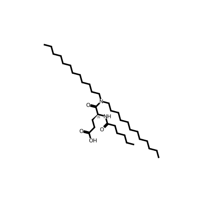 CCCCCCCCCCCCN(CCCCCCCCCCCC)C(=O)[C@H](CCC(=O)O)NC(=O)CCCCC